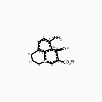 CCOC(=O)c1cn2c3c(ccc(N)c3c1=O)CCC2